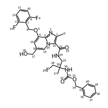 Cc1nc2c(OCc3c(F)cccc3F)cc(CO)cn2c1C(=O)NCC(C)(CF)NC(=O)OCc1ccccc1